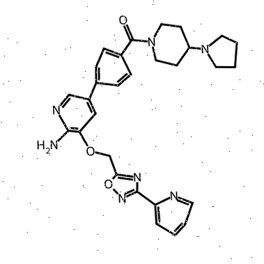 Nc1ncc(-c2ccc(C(=O)N3CCC(N4CCCC4)CC3)cc2)cc1OCc1nc(-c2ccccn2)no1